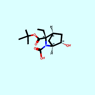 CC[C@@]1(C(=O)OC(C)(C)C)[C@H]2C[C@H](O)[C@H](C2)N1C(=O)O